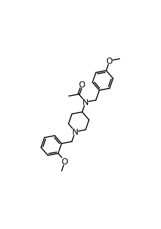 COc1ccc(CN(C(C)=O)C2CCN(Cc3ccccc3OC)CC2)cc1